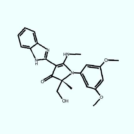 CNC1=C(c2nc3ccccc3[nH]2)C(=O)[C@@](C)(CO)N1c1cc(OC)cc(OC)c1